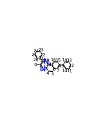 Cc1nc2ccc3cc(-c4ccccc4)ccc3c2nc1-c1ccccc1